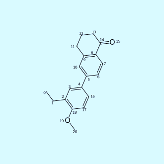 CCc1cc(-c2ccc3c(c2)CCCC3=O)ccc1OC